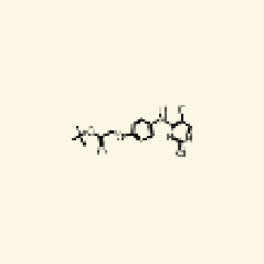 CC(C)(C)OC(=O)COc1ccc(Nc2nc(Cl)ncc2F)cc1